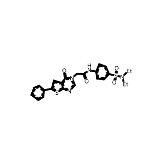 CCN(CC)S(=O)(=O)c1ccc(NC(=O)Cn2cnc3sc(-c4ccccc4)cc3c2=O)cc1